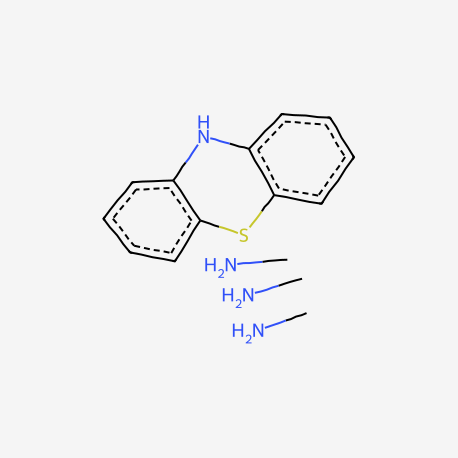 CN.CN.CN.c1ccc2c(c1)Nc1ccccc1S2